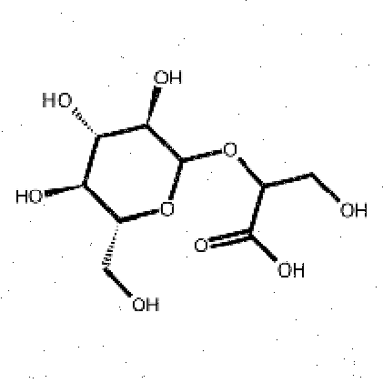 O=C(O)C(CO)OC1O[C@H](CO)[C@@H](O)[C@H](O)[C@H]1O